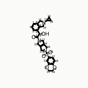 O=C([C@@H](O)c1cccc2c1CN(C1CC1)C2)N1CC2=C(C1)CN(S(=O)(=O)c1ccc3c(c1)OCCO3)C2